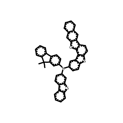 CC1(C)c2ccccc2-c2ccc(N(c3ccc4c(c3)sc3ccccc34)c3ccc4sc5ccc6c7cc8ccccc8cc7oc6c5c4c3)cc21